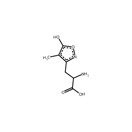 Cc1c(CC(N)C(=O)O)noc1O